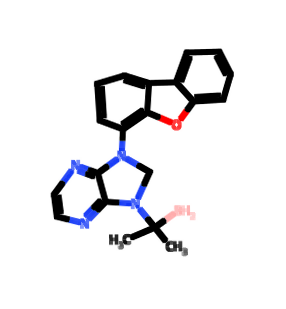 BC(C)(C)N1CN(c2cccc3c2oc2ccccc23)c2nccnc21